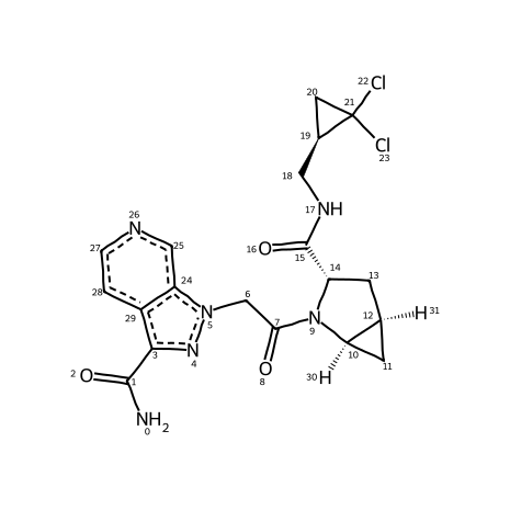 NC(=O)c1nn(CC(=O)N2[C@@H]3C[C@@H]3C[C@H]2C(=O)NC[C@H]2CC2(Cl)Cl)c2cnccc12